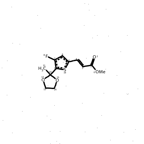 COC(=O)/C=C/c1cc(F)c(C2(C)OCCO2)s1